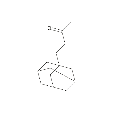 CC(=O)CCC12CC3CC(CC(C3)C1)C2